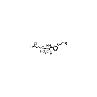 CCC(Cl)CCCOC[C@H](N)[C@](O)(Cc1cc(OCCC2CC2)ccn1)C(=O)O